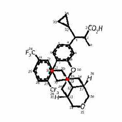 CC(C(=O)O)C(c1ccc2c(c1)OC(C1[C@@H]3COC[C@H]1CN(Cc1cc(C(F)(F)F)ccc1C(F)(F)F)C3)CC2)C1CC1